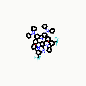 N#Cc1c(-n2c3ccccc3c3cc(C(F)(F)F)ccc32)c(-c2ccccc2)c(-n2c3ccc(N(c4ccccc4)c4ccccc4)cc3c3cc(N(c4ccccc4)c4ccccc4)ccc32)c(-c2ccccc2)c1-n1c2ccccc2c2cc(C(F)(F)F)ccc21